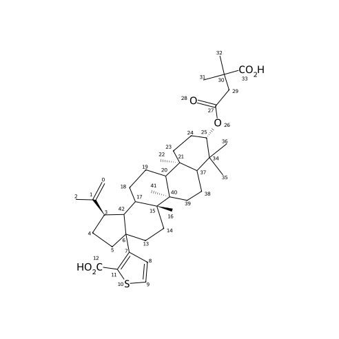 C=C(C)[C@@H]1CCC2(c3ccsc3C(=O)O)CC[C@]3(C)C(CCC4[C@@]5(C)CC[C@H](OC(=O)CC(C)(C)C(=O)O)C(C)(C)C5CC[C@]43C)C12